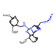 COc1ccc(CNc2nc3c(OC)cccc3c3nc(CN=[N+]=[N-])cn23)c(OC)c1